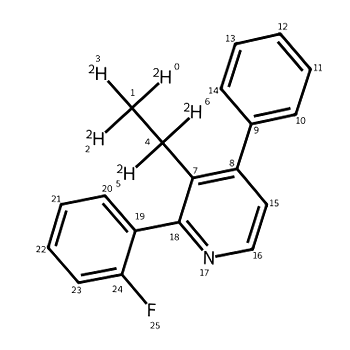 [2H]C([2H])([2H])C([2H])([2H])c1c(-c2ccccc2)ccnc1-c1ccccc1F